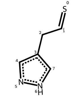 S=[C]Cc1cn[nH]c1